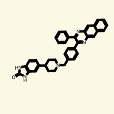 O=c1[nH]c2ccc(C3CCN(Cc4ccc(-c5nc6cc7ccccc7cc6nc5-c5ccccc5)cc4)CC3)cc2[nH]1